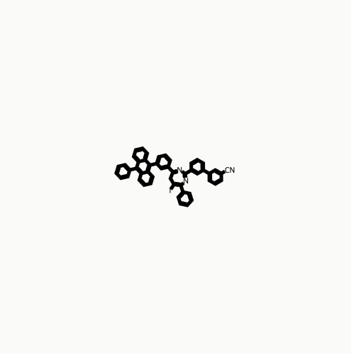 N#Cc1cccc(-c2cccc(C3=NC(c4ccccc4)=C(I)CC(c4cccc(-c5c6ccccc6c(-c6ccccc6)c6ccccc56)c4)=N3)c2)c1